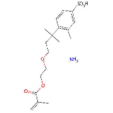 C=C(C)C(=O)OCCOCCC(C)(C)c1ccc(S(=O)(=O)O)cc1C.N